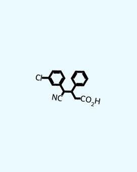 N#CC(c1cccc(Cl)c1)C(CC(=O)O)c1ccccc1